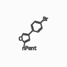 [CH2]CCCCc1cc(-c2ccc(Br)cc2)co1